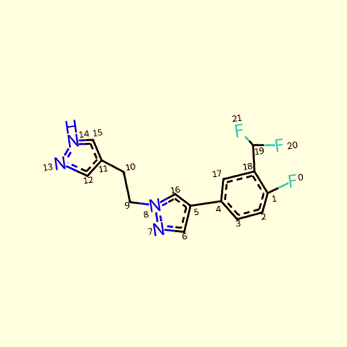 Fc1ccc(-c2cnn(CCc3cn[nH]c3)c2)cc1C(F)F